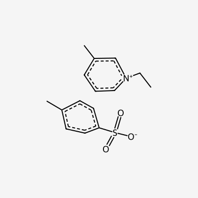 CC[n+]1cccc(C)c1.Cc1ccc(S(=O)(=O)[O-])cc1